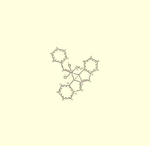 [CH3][Hf]([Cl])([Cl])(=[CH]c1ccccc1)([CH]1C=Cc2ccccc21)[CH]1C=Cc2ccccc21